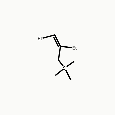 CC/C=C(/CC)C[Si](C)(C)C